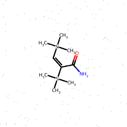 C[Si](C)(C)C=C(C(N)=O)[Si](C)(C)C